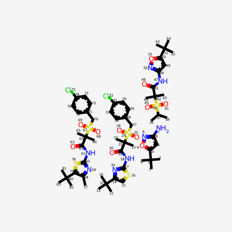 CC(C)(C)c1cc(N)no1.CC(C)(C)c1csc(NC(=O)C(C)(C)S(=O)(=O)Cc2ccc(Cl)cc2)n1.CC(C)S(=O)(=O)C(C)(C)C(=O)Nc1cc(C(C)(C)C)on1.Cc1nc(NC(=O)C(C)(C)S(=O)(=O)Cc2ccc(Cl)cc2)sc1C(C)(C)C